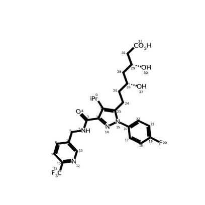 CC(C)c1c(C(=O)NCc2ccc(C(F)(F)F)nc2)nn(-c2ccc(F)cc2)c1CC[C@@H](O)C[C@@H](O)CC(=O)O